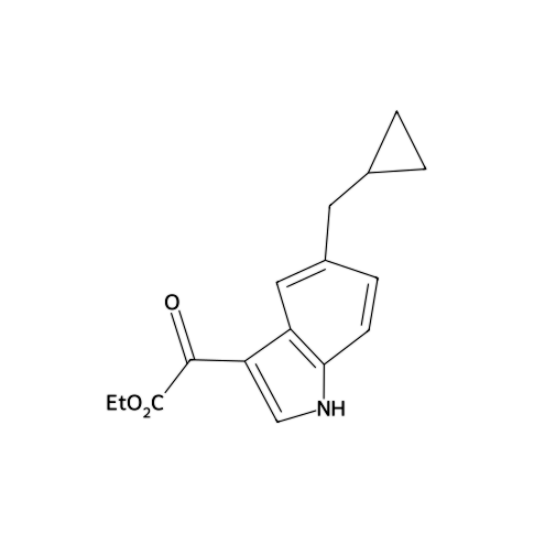 CCOC(=O)C(=O)c1c[nH]c2ccc(CC3CC3)cc12